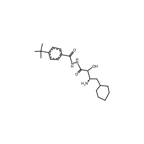 CC(C)(C)c1ccc(C(=O)NNC(=O)C(O)[C@H](N)CC2CCCCC2)cc1